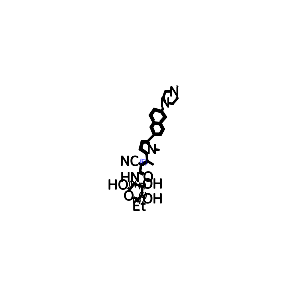 CC[C@H]1OC(O)[C@H](NC(=O)/C(C#N)=C(\C)c2ccc(-c3ccc4cc(N5CCN(C)CC5)ccc4c3)n2C)[C@@H](O)[C@@H]1O